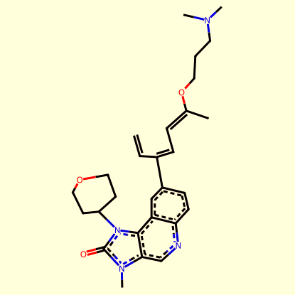 C=C/C(=C\C=C(/C)OCCCN(C)C)c1ccc2ncc3c(c2c1)n(C1CCOCC1)c(=O)n3C